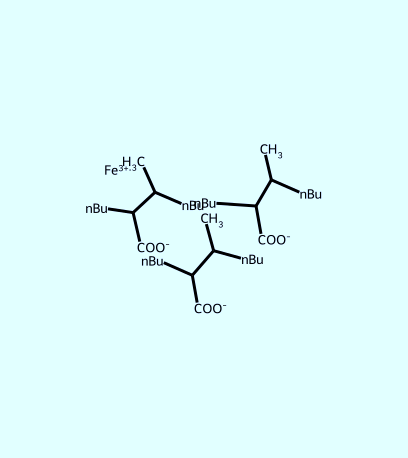 CCCCC(C)C(CCCC)C(=O)[O-].CCCCC(C)C(CCCC)C(=O)[O-].CCCCC(C)C(CCCC)C(=O)[O-].[Fe+3]